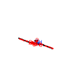 CCCCCCCCCCCCCCCCCC(=O)Oc1ccc(C[C@H](NC(=O)[C@@H](NC(C)=O)[C@@H](C)CC)C(=O)N[C@@H](Cc2ccc(OC(=O)CCCCCCCCCCCCCCCCC)cc2)P(=O)(O)O)cc1